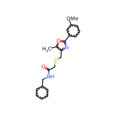 COc1cccc(-c2nc(CSCC(=O)NCc3ccccc3)c(C)o2)c1